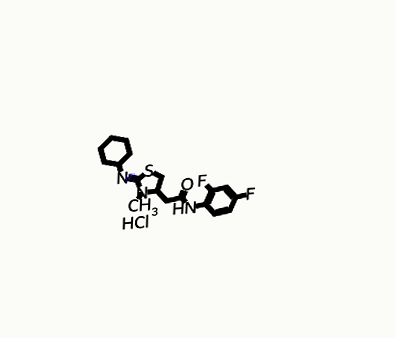 CN1/C(=N/C2CCCCC2)SCC1CC(=O)Nc1ccc(F)cc1F.Cl